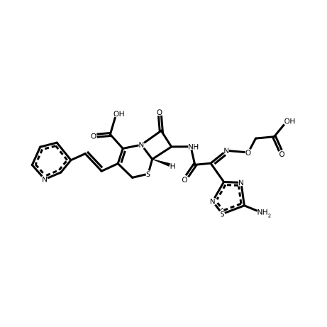 Nc1nc(C(=NOCC(=O)O)C(=O)NC2C(=O)N3C(C(=O)O)=C(C=Cc4cccnc4)CS[C@@H]23)ns1